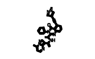 C=C(NC(C)c1nc2cccc(C#Cc3cnn(C)c3)c2c(=O)n1-c1ccccc1)c1cnn2c(C)ccnc12